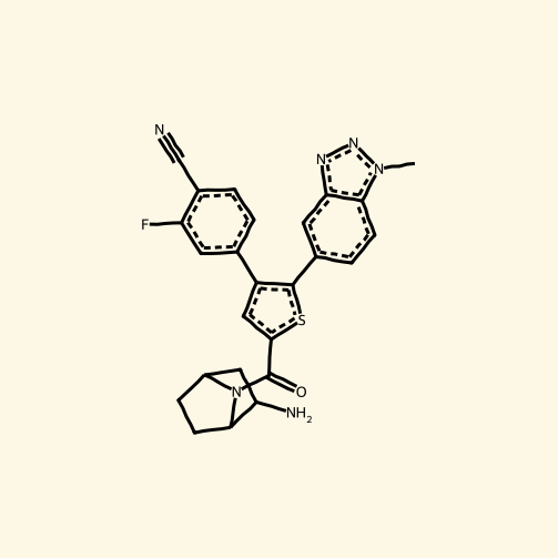 Cn1nnc2cc(-c3sc(C(=O)N4C5CCC4C(N)C5)cc3-c3ccc(C#N)c(F)c3)ccc21